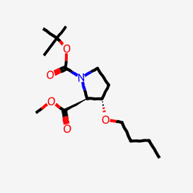 CCCCO[C@H]1CCN(C(=O)OC(C)(C)C)[C@@H]1C(=O)OC